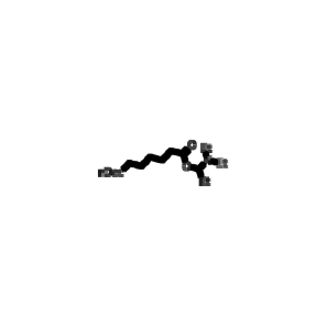 CCCCCCCCCCCCCCCC(=O)OC(CC)N(CC)CC